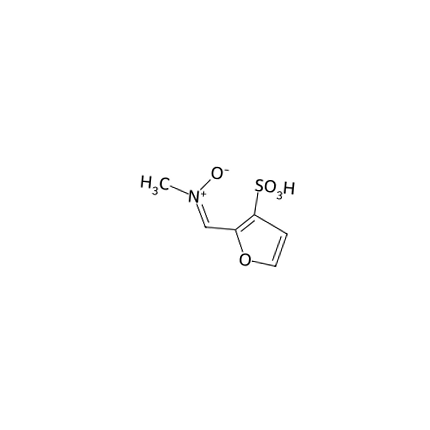 C[N+]([O-])=Cc1occc1S(=O)(=O)O